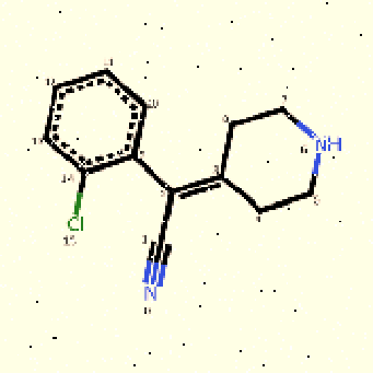 N#CC(=C1CCNCC1)c1ccccc1Cl